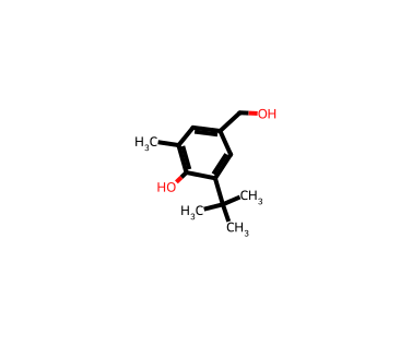 Cc1cc(CO)cc(C(C)(C)C)c1O